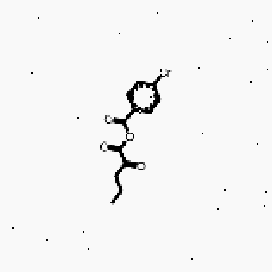 CCCC(=O)C(=O)OC(=O)c1ccc(Br)cc1